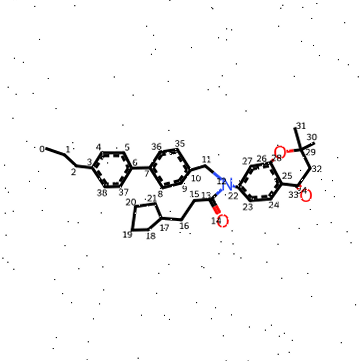 CCCc1ccc(-c2ccc(CN(C(=O)CCC3CCCC3)c3ccc4c(c3)OC(C)(C)CC4=O)cc2)cc1